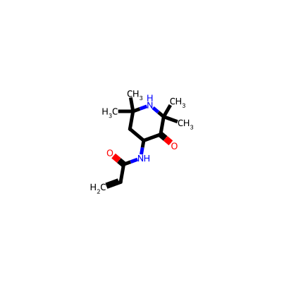 C=CC(=O)NC1CC(C)(C)NC(C)(C)C1=O